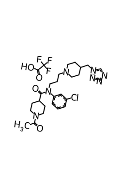 CC(=O)N1CCC(C(=O)N(CCCN2CCC(Cn3cnnn3)CC2)c2cccc(Cl)c2)CC1.O=C(O)C(F)(F)F